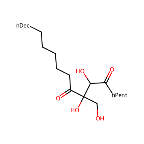 CCCCCCCCCCCCCCCC(=O)C(O)(CO)C(O)C(=O)CCCCC